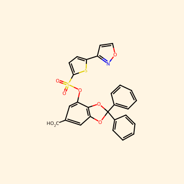 O=C(O)c1cc2c(c(OS(=O)(=O)c3ccc(-c4ccon4)s3)c1)OC(c1ccccc1)(c1ccccc1)O2